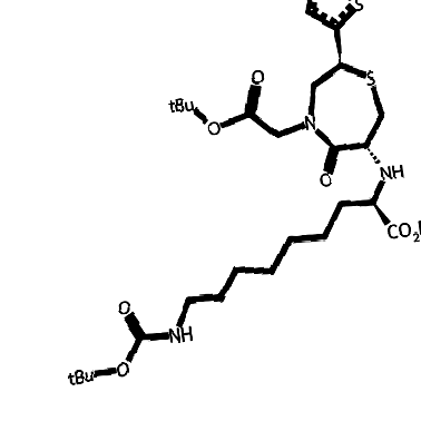 CCOC(=O)[C@@H](CCCCCCCNC(=O)OC(C)(C)C)N[C@H]1CS[C@H](c2cccs2)CN(CC(=O)OC(C)(C)C)C1=O